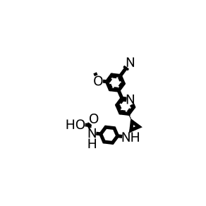 COc1cc(C#N)cc(-c2ccc([C@@H]3C[C@H]3NC3CCC(NC(=O)O)CC3)cn2)c1